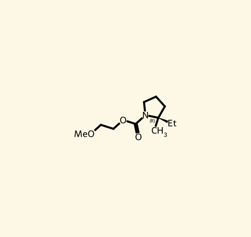 CC[C@]1(C)CCCN1C(=O)OCCOC